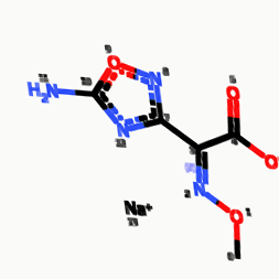 CO/N=C(\C(=O)[O-])c1noc(N)n1.[Na+]